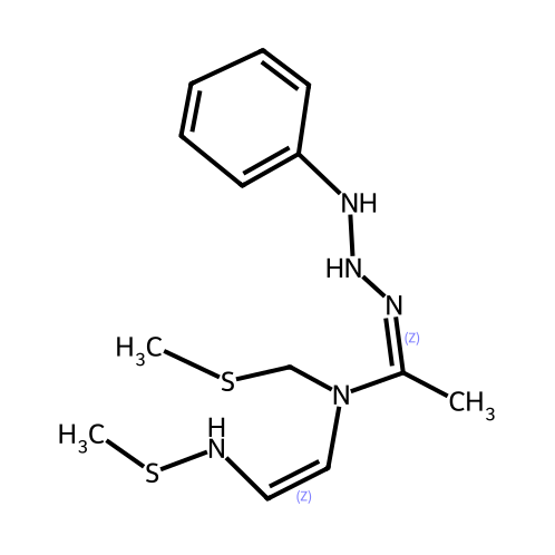 CSCN(/C=C\NSC)/C(C)=N\NNc1ccccc1